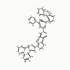 c1ccc(-c2nc(-c3ccc4c(c3)oc3c(-c5ccc6c7ccccc7c7ccccc7c6c5)cccc34)nc(-c3cccc4sc5ccccc5c34)n2)cc1